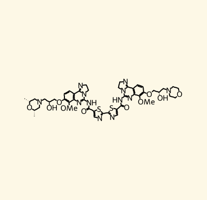 COc1c(OC[C@@H](O)CN2CCOCC2)ccc2c1N=C(NC(=O)c1cnc(-c3ncc(C(=O)NC4=Nc5c(ccc(OC[C@@H](O)CN6C[C@@H](C)O[C@@H](C)C6)c5OC)C5=NCCN45)s3)s1)N1CCN=C21